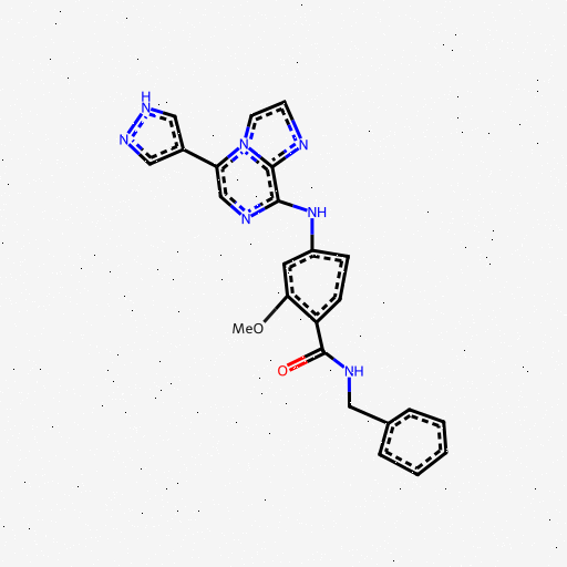 COc1cc(Nc2ncc(-c3cn[nH]c3)n3ccnc23)ccc1C(=O)NCc1ccccc1